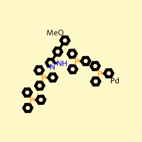 COc1cccc(-c2ccc(-c3cccnc3N)cc2)c1.[Pd].c1ccc(P(c2ccccc2)c2ccccc2)cc1.c1ccc(P(c2ccccc2)c2ccccc2)cc1.c1ccc(P(c2ccccc2)c2ccccc2)cc1.c1ccc(P(c2ccccc2)c2ccccc2)cc1